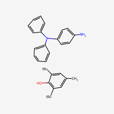 Cc1cc(C(C)(C)C)c(O)c(C(C)(C)C)c1.Nc1ccc(N(c2ccccc2)c2ccccc2)cc1